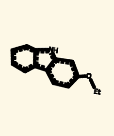 CCOc1ccc2c(c1)[nH]c1ccccc12